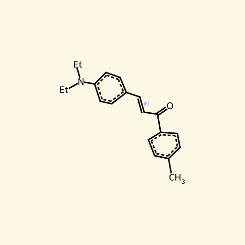 CCN(CC)c1ccc(/C=C/C(=O)c2ccc(C)cc2)cc1